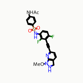 CON1NCc2ccc(C#Cc3c(F)ccc(NS(=O)(=O)c4ccc(NC(C)=O)cc4)c3F)nc21